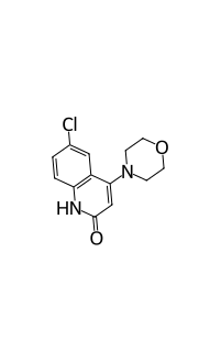 O=c1cc(N2CCOCC2)c2cc(Cl)ccc2[nH]1